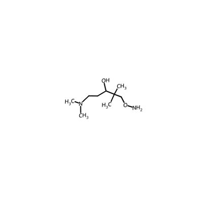 CN(C)CCC(O)C(C)(C)CON